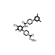 CCc1cc(NC(=O)N2CCN(c3cc(C)cc(C)c3)CC2)c(N2CCN(C(=O)OC(C)(C)C)CC2)nc1C